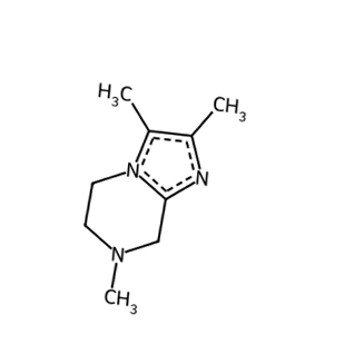 Cc1nc2n(c1C)CCN(C)C2